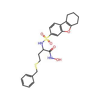 O=C(NO)C(CCSCc1ccccc1)NS(=O)(=O)c1ccc2c3c(oc2c1)CCCC3